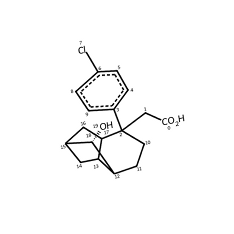 O=C(O)CC1(c2ccc(Cl)cc2)CCC2C3CC(CC31)[C@@H]2O